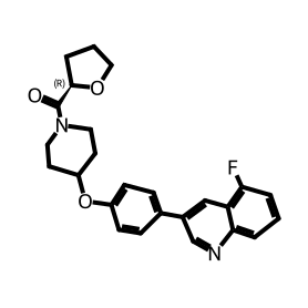 O=C([C@H]1CCCO1)N1CCC(Oc2ccc(-c3cnc4cccc(F)c4c3)cc2)CC1